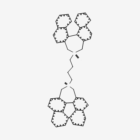 O=P1(CCCCP2(=O)Cc3ccc4ccccc4c3-c3c(ccc4ccccc34)C2)Cc2ccc3ccccc3c2-c2c(ccc3ccccc23)C1